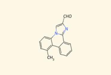 Cc1cccc2c1c1ccccc1c1nc(C=O)cn21